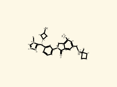 CC(=O)C1CC([C@H](c2cccc(N3Cc4c(cc(CNC5(C)CCC5)cc4C(F)(F)F)C3=O)c2)c2nncn2C)C1